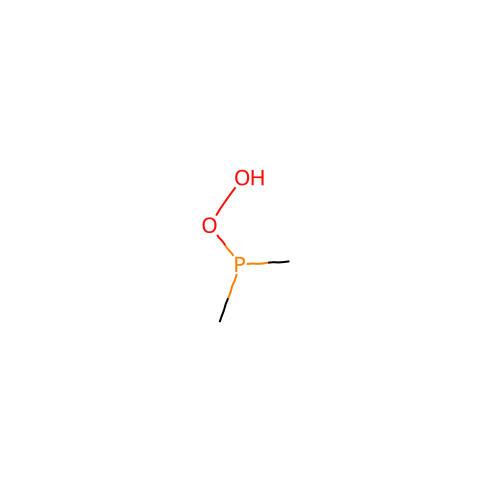 CP(C)OO